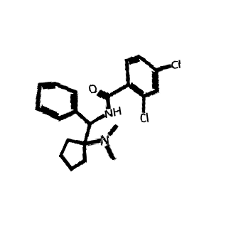 CN(C)C1(C(NC(=O)c2ccc(Cl)cc2Cl)c2ccccc2)CCCC1